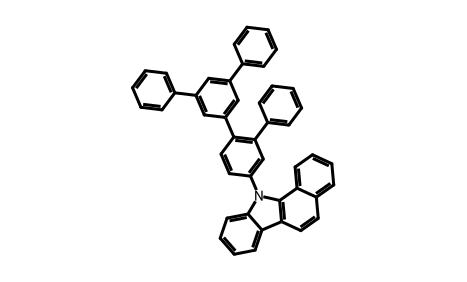 c1ccc(-c2cc(-c3ccccc3)cc(-c3ccc(-n4c5ccccc5c5ccc6ccccc6c54)cc3-c3ccccc3)c2)cc1